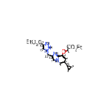 CCOC(=O)COc1cc(C2CC2)cn2cc(Cn3cc(C(=O)OCC)nn3)nc12